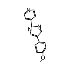 COc1ccc(-c2cnc(-c3ccncc3)nc2)cc1